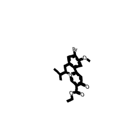 CCOC(=O)c1cn2c(cc1=O)-c1cc(OC)c(Br)cc1CC2C(C)C